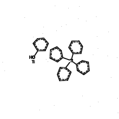 Oc1ccccc1.[Ti].c1cc[c]([Ti]([c]2ccccc2)([c]2ccccc2)[c]2ccccc2)cc1